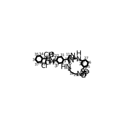 CC(C)(C(=O)Nc1ccc(-c2cnc3nc2NCCCNS(=O)(=O)c2cccc(c2)N3)cc1)c1ccccc1Cl